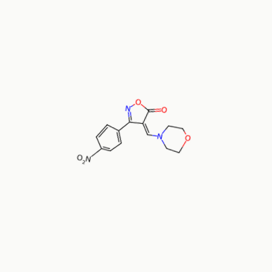 O=C1ON=C(c2ccc([N+](=O)[O-])cc2)C1=CN1CCOCC1